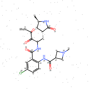 CNC(=O)C(=O)C(C[C@@H]1C[C@@H](C)NC1=O)NC(=O)c1cc(Cl)ccc1NC(=O)C1CN(C)C1